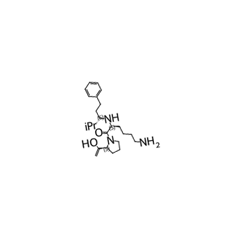 C=C(O)[C@@H]1CCCN1C(=O)[C@H](CCCCN)N[C@@H](CCc1ccccc1)C(C)C